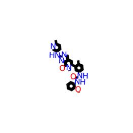 COc1ccccc1NC(=O)Nc1ccc(C)c(-c2cc3cnc(Nc4ccc(C)nc4)nc3c(=O)n2C)c1